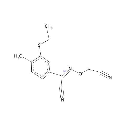 CCSc1cc(/C(C#N)=N/OCC#N)ccc1C